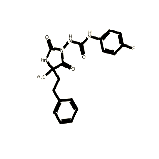 CC1(CCc2ccccc2)NC(=O)N(NC(=O)Nc2ccc(F)cc2)C1=O